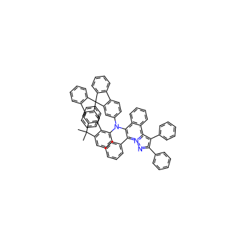 CC1(C)c2ccccc2-c2c(N(c3ccc4c(c3)C3(c5ccccc5-c5ccccc53)c3ccccc3-4)c3c(-c4ccccc4)n4nc(-c5ccccc5)c(-c5ccccc5)c4c4ccccc34)cccc21